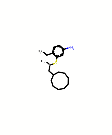 CCc1ccc(N)cc1SB(C)CC1CCCCCCCC1